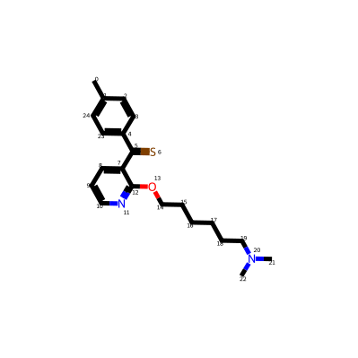 Cc1ccc(C(=S)c2cccnc2OCCCCCCN(C)C)cc1